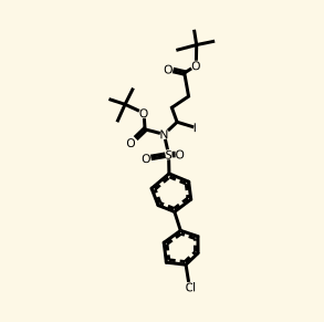 CC(C)(C)OC(=O)CCC(I)N(C(=O)OC(C)(C)C)S(=O)(=O)c1ccc(-c2ccc(Cl)cc2)cc1